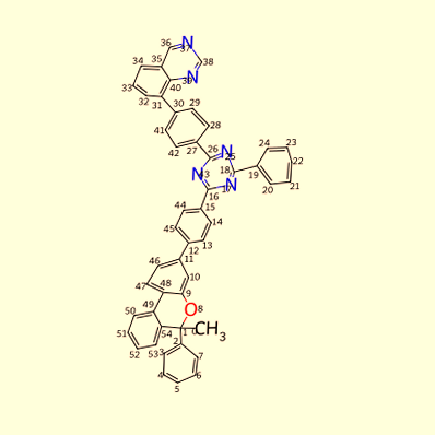 CC1(c2ccccc2)Oc2cc(-c3ccc(-c4nc(-c5ccccc5)nc(-c5ccc(-c6cccc7cncnc67)cc5)n4)cc3)ccc2-c2ccccc21